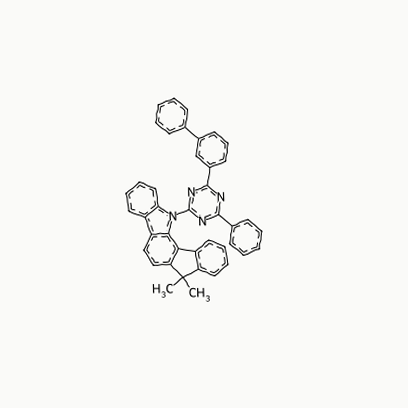 CC1(C)c2ccccc2-c2c1ccc1c3ccccc3n(-c3nc(-c4ccccc4)nc(-c4cccc(-c5ccccc5)c4)n3)c21